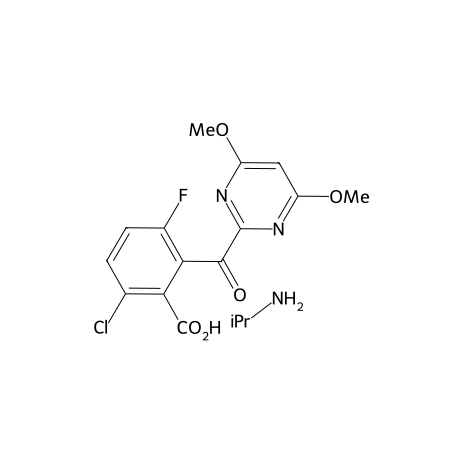 CC(C)N.COc1cc(OC)nc(C(=O)c2c(F)ccc(Cl)c2C(=O)O)n1